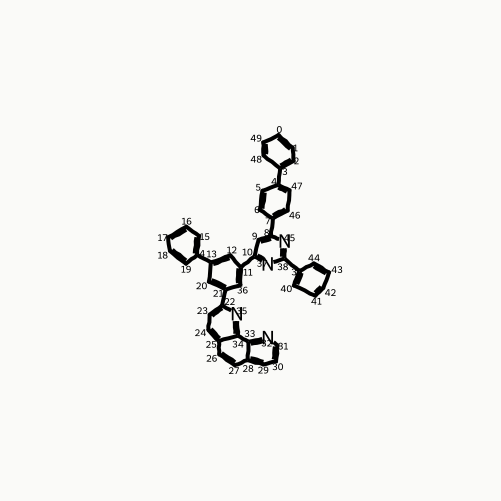 c1ccc(-c2ccc(-c3cc(-c4cc(-c5ccccc5)cc(-c5ccc6ccc7cccnc7c6n5)c4)nc(-c4ccccc4)n3)cc2)cc1